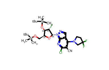 CC(C)(C)[Si](C)(C)OC[C@@H]1O[C@@H](n2ncc3c(N4CCC(F)(F)C4)c(C#N)c(Cl)nc32)[C@@H](F)[C@@H]1O[Si](C)(C)C(C)(C)C